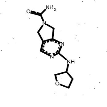 NC(=O)N1Cc2cnc(NC3CCOC3)nc2C1